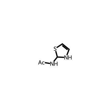 CC(=O)NC1NC=CS1